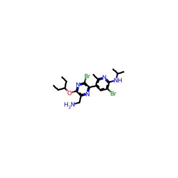 CCC(CC)Oc1nc(Br)c(-c2cc(Br)c(NC(C)C)nc2C)nc1CN